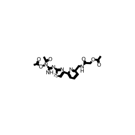 CC(=O)OCC(=O)NCc1cccc(-c2csc(/N=C(\N)N(OC(C)=O)C(C)=O)n2)n1